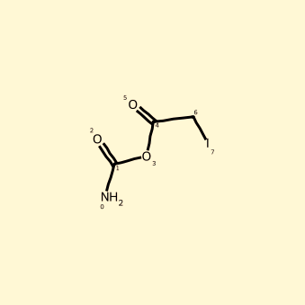 NC(=O)OC(=O)CI